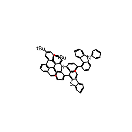 CC(C)(C)c1cc(-c2cccc3cccc(-c4ccccc4N(c4ccc(-c5cccc6c5c5ccccc5n6-c5ccccc5)cc4)c4ccccc4-c4cccc5c4sc4ccccc45)c23)cc(C(C)(C)C)c1